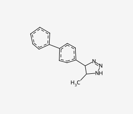 CC1NN=NC1c1ccc(-c2ccccc2)cc1